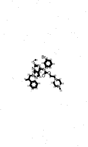 CSc1nc(N(C(=O)OCCN2CCN(C)CC2)c2cccc(Br)c2)c2cnn(CC(C)c3ccccc3)c2n1